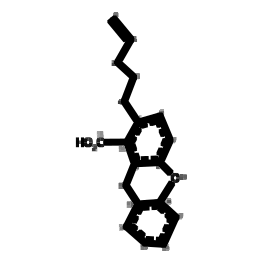 C=CCCCc1ccc2c(c1C(=O)O)Cc1ccccc1O2